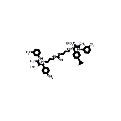 CCOC(=O)/C(=C(\C)Nc1cccc(C(F)(F)F)c1)[C@H](NCCCNC(=N)NCCCN[C@@H](/C(C(=O)OCC)=C(/C)Nc1cccc(C(F)(F)F)c1)c1ccc(C2=CC2)cc1)c1ccc(N)cc1